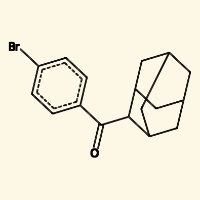 O=C(c1ccc(Br)cc1)C1C2CC3CC(C2)CC1C3